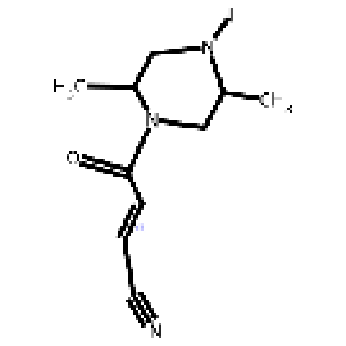 CC1CN(C(=O)/C=C/C#N)C(C)CN1I